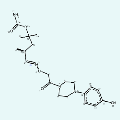 C[C@H](/C=N/OCC(=O)N1CCN(c2ccc(C#N)cn2)CC1)CC(C)(C)OC(N)=O